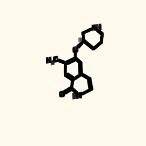 Cc1cc2c(=O)[nH]ccc2cc1O[C@@H]1CCCNC1